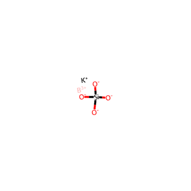 [B+3].[K+].[O-][Si]([O-])([O-])[O-]